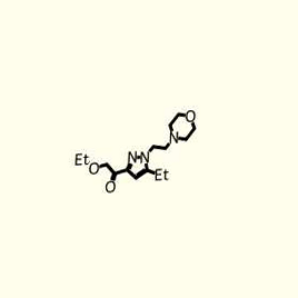 CCOCC(=O)c1cc(CC)n(CCN2CCOCC2)n1